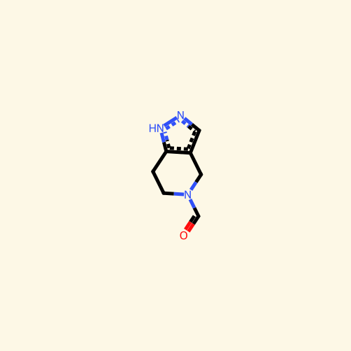 O=CN1CCc2[nH]ncc2C1